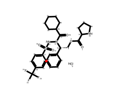 Cl.O=C(OC[C@H](c1ccccc1)N(NS(=O)(=O)c1ccc(C(F)(F)F)cc1)C(=O)C1CCCCC1)C1CCCN1